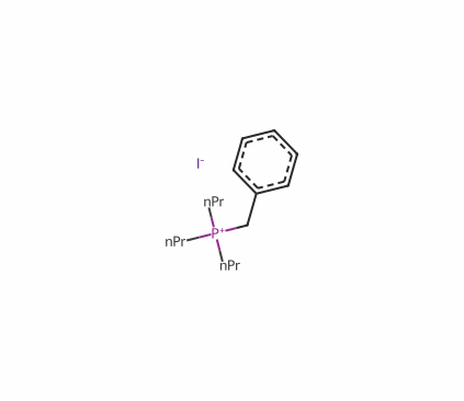 CCC[P+](CCC)(CCC)Cc1ccccc1.[I-]